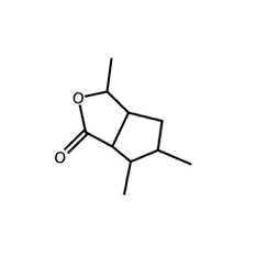 CC1CC2C(C)OC(=O)C2C1C